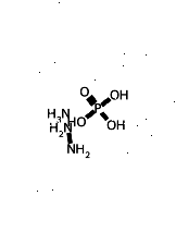 N.NN.O=P(O)(O)O